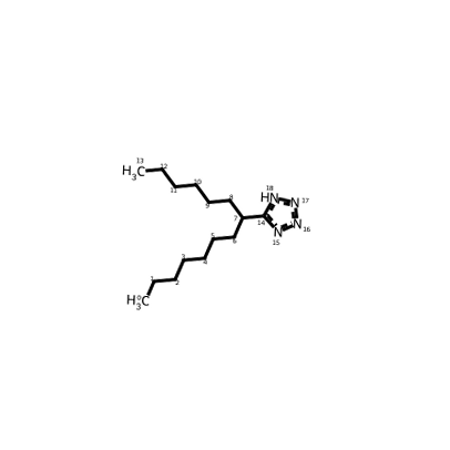 CCCCCCCC(CCCCCC)c1nnn[nH]1